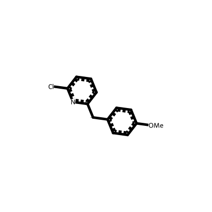 COc1ccc([CH]c2cccc(Cl)n2)cc1